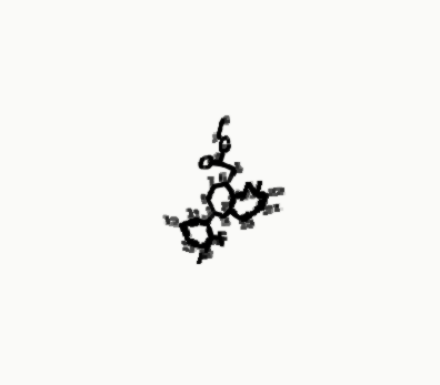 CCOC(=O)C[C@@H]1CC[C@H](c2cccc(F)c2F)Cc2cccnc21